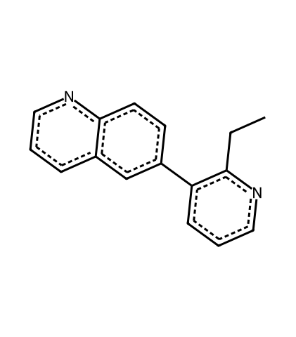 CCc1ncccc1-c1ccc2ncccc2c1